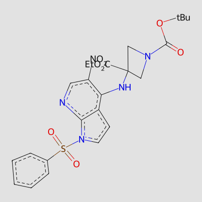 CCOC(=O)C1(Nc2c([N+](=O)[O-])cnc3c2ccn3S(=O)(=O)c2ccccc2)CN(C(=O)OC(C)(C)C)C1